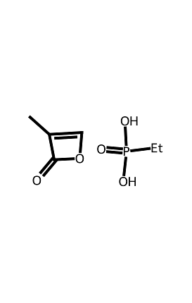 CC1=COC1=O.CCP(=O)(O)O